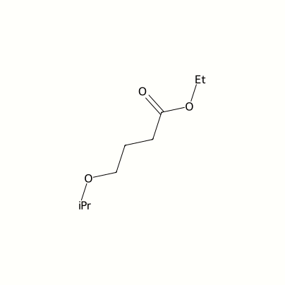 CCOC(=O)CCCOC(C)C